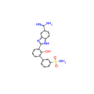 N=C(N)c1ccc2[nH]c(-c3cccc(-c4cccc(S(N)(=O)=O)c4)c3O)nc2c1